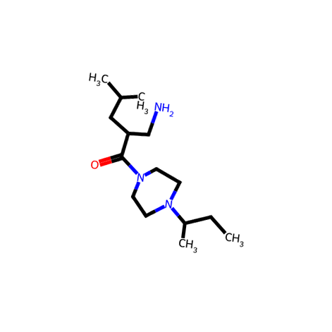 CCC(C)N1CCN(C(=O)C(CN)CC(C)C)CC1